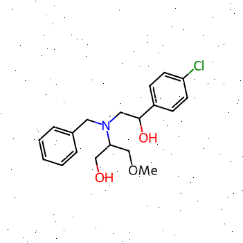 COCC(CO)N(Cc1ccccc1)CC(O)c1ccc(Cl)cc1